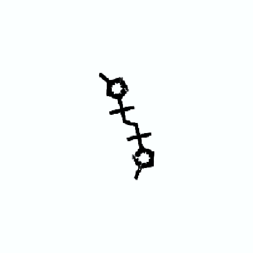 Cc1cc(C(C)(C)CCC(C)(C)c2ccn(C)n2)sn1